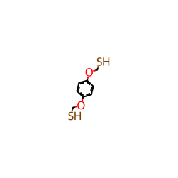 SCOc1ccc(OCS)cc1